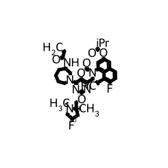 C#Cc1c(F)ccc2cc(OC(=O)C(C)C)cc(N3Cc4nc(OC[C@]5(C)C[C@@H](F)CN5C)nc(N5CCCCC(NC(=O)C=C)C5)c4OC3=O)c12